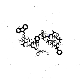 C/C(=C\C(C(C)C)N(C)C(=O)C(NC(=O)C(N(C)C(=O)OC(C)(C)C)C(C)(C)c1ccccc1)C(C)(C)C)C(=O)NS(=O)(=O)Cc1ccc(NC(=O)C(CCCNC(N)=O)NC(=O)C(NC(=O)OCC2c3ccccc3-c3ccccc32)C(C)C)cc1